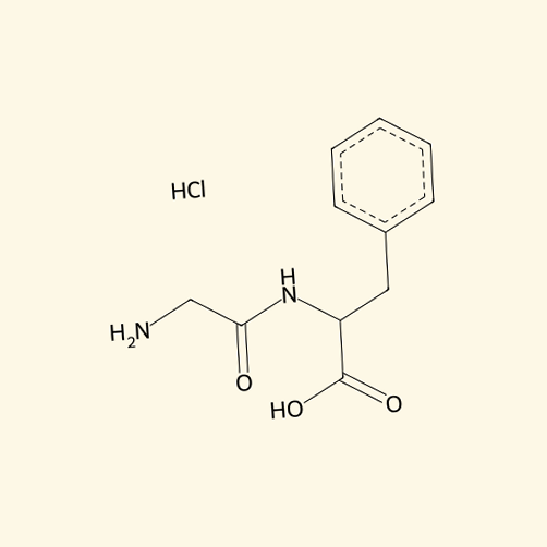 Cl.NCC(=O)NC(Cc1ccccc1)C(=O)O